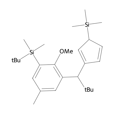 COc1c(C(C2=CC([Si](C)(C)C)C=C2)C(C)(C)C)cc(C)cc1[Si](C)(C)C(C)(C)C